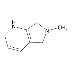 CN1CC2=C(C1)NCC=C2